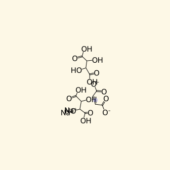 O=C(O)C(O)C(O)C(=O)O.O=C(O)C(O)C(O)C(=O)O.O=C([O-])/C=C\C(=O)[O-].[Na+].[Na+]